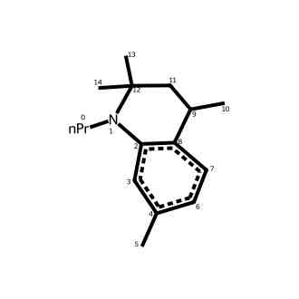 CCCN1c2cc(C)ccc2C(C)CC1(C)C